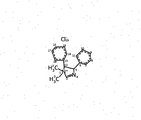 C[N+]1(C)C=NC(c2ccccc2)C1c1ccccc1.[Cl-]